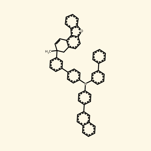 CC1(c2cccc(-c3ccc(N(c4ccc(-c5ccc6ccccc6c5)cc4)c4cccc(-c5ccccc5)c4)cc3)c2)C=Cc2c(ccc3oc4ccccc4c23)C1